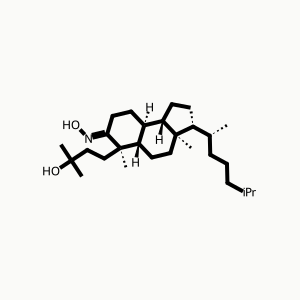 CC(C)CCC[C@@H](C)[C@H]1CC[C@H]2[C@@H]3CCC(=NO)[C@](C)(CCC(C)(C)O)[C@H]3CC[C@]12C